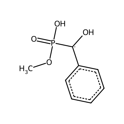 COP(=O)(O)[C](O)c1ccccc1